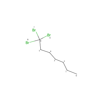 CCCCCCC(Br)(Br)Br